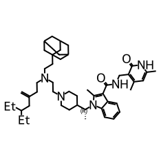 C=C(CCN(CCN1CCC([C@@H](C)n2c(C)c(C(=O)NCc3c(C)cc(C)[nH]c3=O)c3ccccc32)CC1)CCC12CC3CC(CC(C3)C1)C2)CC(CC)CC